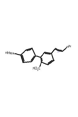 CCC/C=C/c1ccc(C(=O)O)c(-c2ccc(CCCCCC)cc2)c1